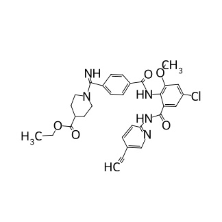 C#Cc1ccc(NC(=O)c2cc(Cl)cc(OC)c2NC(=O)c2ccc(C(=N)N3CCC(C(=O)OCC)CC3)cc2)nc1